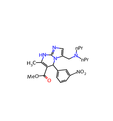 CCCN(CCC)Cc1cnc2n1C(c1cccc([N+](=O)[O-])c1)C(C(=O)OC)=C(C)N2